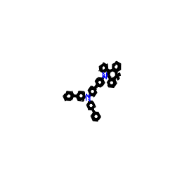 CC1(C)c2ccccc2-c2c(n(-c3ccc(-c4ccc(N(c5ccc(-c6ccccc6)cc5)c5ccc(-c6ccccc6)cc5)cc4)cc3)c3ccccc23)-c2ccccc21